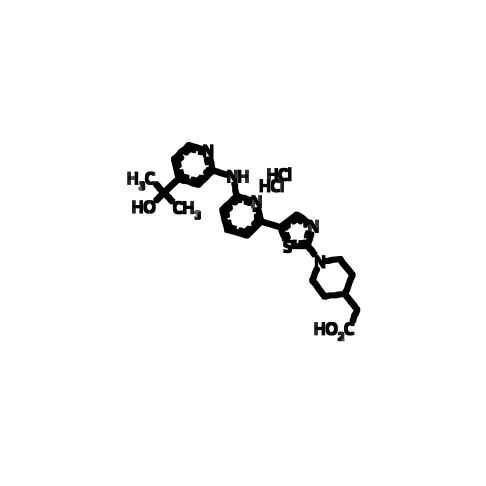 CC(C)(O)c1ccnc(Nc2cccc(-c3cnc(N4CCC(CC(=O)O)CC4)s3)n2)c1.Cl.Cl